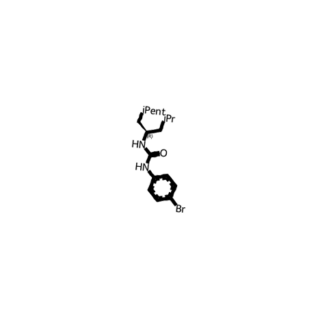 CCCC(C)C[C@@H](CC(C)C)NC(=O)Nc1ccc(Br)cc1